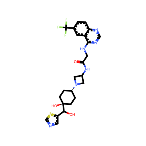 O=C(CNc1ncnc2ccc(C(F)(F)F)cc12)NC1CN([C@H]2CC[C@@](O)(C(O)c3cncs3)CC2)C1